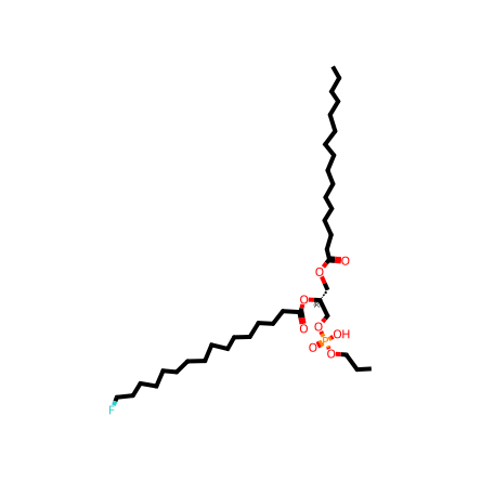 CCCCCCCCCCCCCCCC(=O)OC[C@H](COP(=O)(O)OCCC)OC(=O)CCCCCCCCCCCCCCCF